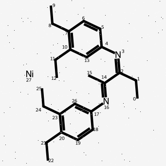 CCC(=Nc1ccc(CC)c(CC)c1)C(C)=Nc1ccc(CC)c(CC)c1.[Ni]